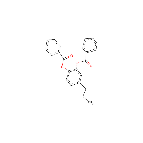 CCCc1ccc(OC(=O)c2ccccc2)c(OC(=O)c2ccccc2)c1